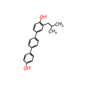 CC(C)Cc1cc(-c2ccc(-c3ccc(O)cc3)cc2)ccc1O